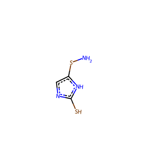 NSc1cnc(S)[nH]1